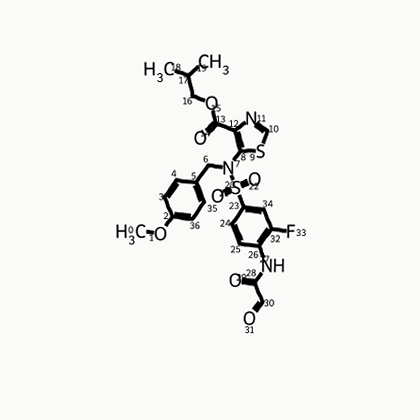 COc1ccc(CN(c2scnc2C(=O)OCC(C)C)S(=O)(=O)c2ccc(NC(=O)C=O)c(F)c2)cc1